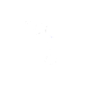 FC(F)(F)c1ccc(NCCc2cc[c]cc2)cc1